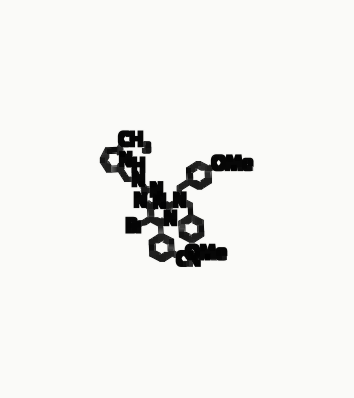 COc1ccc(CN(Cc2ccc(OC)cc2)c2nc(-c3cccc(C#N)c3)c(Br)c3nc(NCc4cccc(C)n4)nn23)cc1